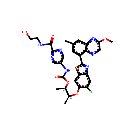 COc1cnc2c(-c3nc4cc(F)c(O[C@@H](C)[C@@H](C)OC(=O)Nc5cnc(C(=O)NCCO)nc5)cc4s3)cc(C)cc2n1